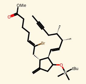 C=C1CC(O[Si](C)(C)C(C)(C)C)[C@H](/C=C/[C@@H](C)[C@@H](C)CC#CC)[C@H]1C/C(Br)=C/CCCC(=O)OC